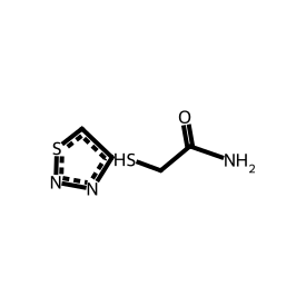 NC(=O)CS.c1csnn1